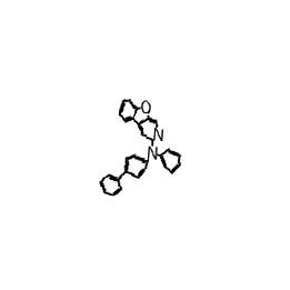 c1ccc(-c2ccc(N(c3ccccc3)c3cc4c(cn3)oc3ccccc34)cc2)cc1